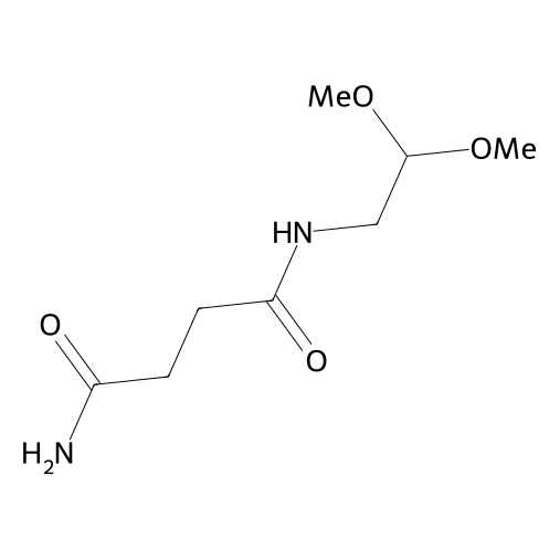 COC(CNC(=O)CCC(N)=O)OC